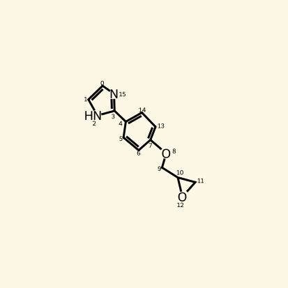 c1c[nH]c(-c2ccc(OCC3CO3)cc2)n1